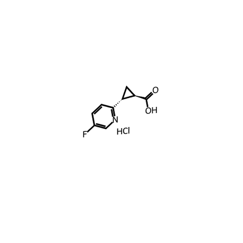 Cl.O=C(O)[C@@H]1C[C@H]1c1ccc(F)cn1